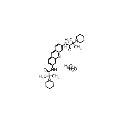 CC(C)(C(=O)Nc1ccc2cc3ccc(NC(=O)C(C)(C)N4CCCCC4)cc3nc2c1)N1CCCCC1.O.O.O